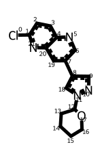 Clc1ccc2ncc(-c3cnn(C4CCCCO4)c3)cc2n1